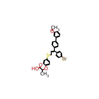 COc1cccc(-c2ccc(C(=CCSc3ccc(OC(C)C(=O)O)cc3)c3ccc(Br)cc3)cc2)c1